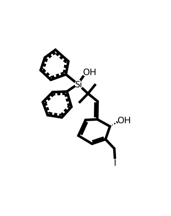 CC(C)(/C=C1\C=CC=C(CI)[C@H]1O)[Si](O)(c1ccccc1)c1ccccc1